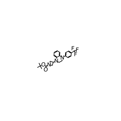 CC(C)(C)OC(=O)N1CC(N2CCN(c3ccc(C(F)(F)F)cc3)c3ccccc32)C1